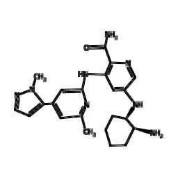 Cc1cc(-c2ccnn2C)cc(Nc2cc(N[C@@H]3CCCC[C@@H]3N)cnc2C(N)=O)n1